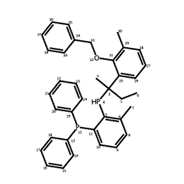 CCC(C)(Pc1c(C)cccc1P(c1ccccc1)c1ccccc1)c1cccc(C)c1OCc1ccccc1